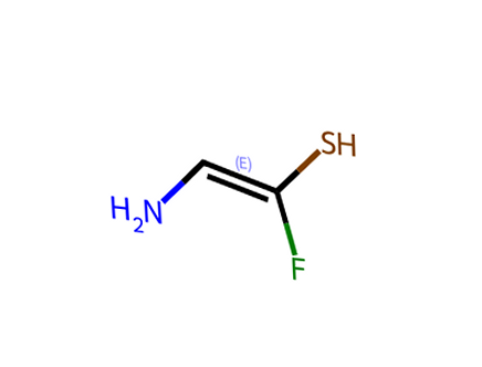 N/C=C(\F)S